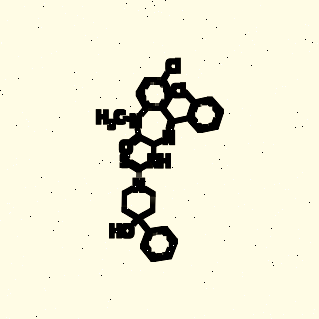 CN1C(=O)C(NC(=S)N2CCC(O)(c3ccccc3)CC2)N=C(c2ccccc2Cl)c2cc(Cl)ccc21